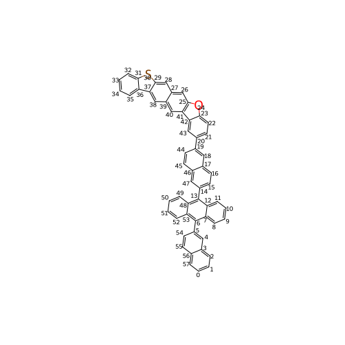 c1ccc2cc(-c3c4ccccc4c(-c4ccc5cc(-c6ccc7oc8cc9cc%10sc%11ccccc%11c%10cc9cc8c7c6)ccc5c4)c4ccccc34)ccc2c1